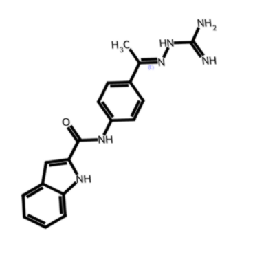 C/C(=N\NC(=N)N)c1ccc(NC(=O)c2cc3ccccc3[nH]2)cc1